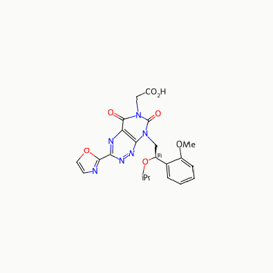 COc1ccccc1[C@H](Cn1c(=O)n(CC(=O)O)c(=O)c2nc(-c3ncco3)nnc21)OC(C)C